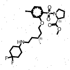 COC(=O)[C@@H]1CCCN1S(=O)(=O)c1ccc(C)cc1OCC[C@H](C)CCNC1CCC(F)(F)CC1